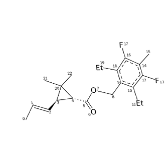 CC=C[C@@H]1[C@@H](C(=O)OCc2c(CC)c(F)c(C)c(F)c2CC)C1(C)C